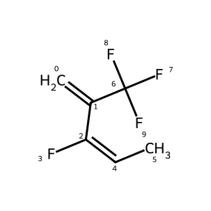 C=C(/C(F)=C\C)C(F)(F)F